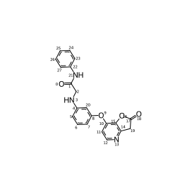 O=C(CNc1cccc(Oc2ccnc3c2OC(=O)C3)c1)Nc1ccccc1